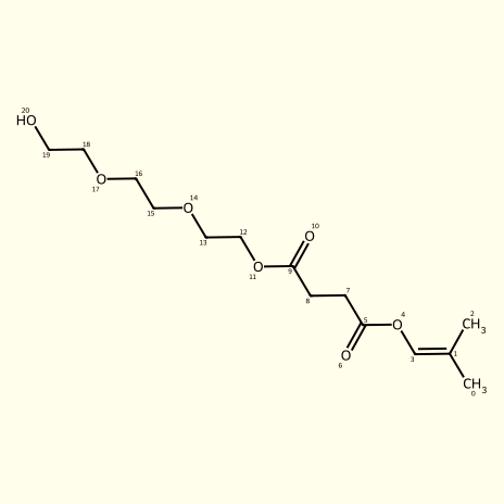 CC(C)=COC(=O)CCC(=O)OCCOCCOCCO